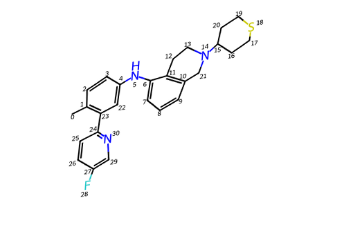 Cc1ccc(Nc2cccc3c2CCN(C2CCSCC2)C3)cc1-c1ccc(F)cn1